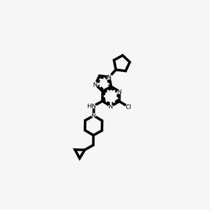 Clc1nc(NN2CCC(CC3CC3)CC2)c2ncn(C3CCCC3)c2n1